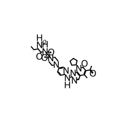 CC[C@H](N)C(=O)NS(=O)(=O)N1CCN(c2ccc(Nc3ncc4c(C)c(C(C)=O)c(=O)n(C5CCCC5)c4n3)nc2)CC1